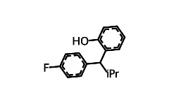 CC(C)C(c1ccc(F)cc1)c1ccccc1O